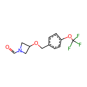 O=CN1CC(OCc2ccc(OC(F)(F)F)cc2)C1